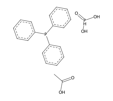 CC(=O)O.O=[PH](O)O.c1ccc(P(c2ccccc2)c2ccccc2)cc1